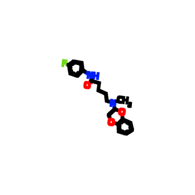 CN(CCCCC(=O)Nc1ccc(F)cc1)C1COc2ccccc2O1